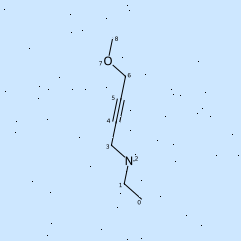 CC[N]CC#CCOC